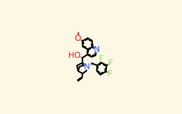 C=CC1C[N+]2(Cc3ccc(F)c(F)c3F)CCC1CC2[C@H](O)c1ccnc2ccc(OC)cc12